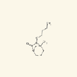 CCCCON1C(=O)N2CCCC1(C)C2